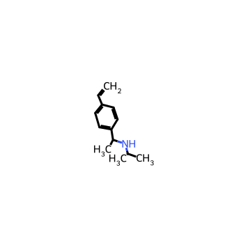 C=Cc1ccc(C(C)NC(C)C)cc1